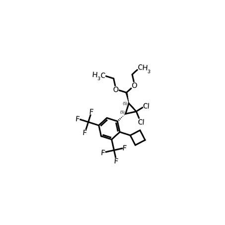 CCOC(OCC)[C@@H]1[C@@H](c2cc(C(F)(F)F)cc(C(F)(F)F)c2C2CCC2)C1(Cl)Cl